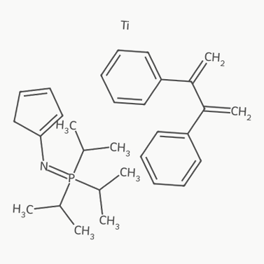 C=C(C(=C)c1ccccc1)c1ccccc1.CC(C)P(=NC1=CC=CC1)(C(C)C)C(C)C.[Ti]